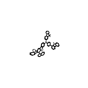 CC1(C)c2ccccc2-c2ccc(N(c3ccc(-c4cccc5c4sc4ccccc45)cc3)c3ccc4c(c3)oc3c(-c5cccc6ccccc56)c5c(cc34)oc3ccccc35)cc21